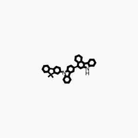 CC1(C)c2ccccc2-c2ccc(-n3c4ccccc4c4cc(-c5cc6[nH]c7ccccc7c6c6ccccc56)ccc43)cc21